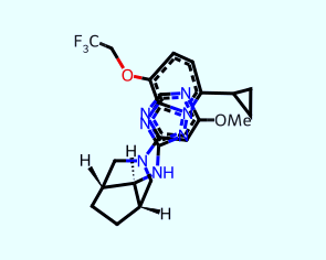 COc1cc(N2C[C@H]3CC[C@@H](C2)[C@@H]3Nc2nc3c(OCC(F)(F)F)ccc(C4CC4)n3n2)ncn1